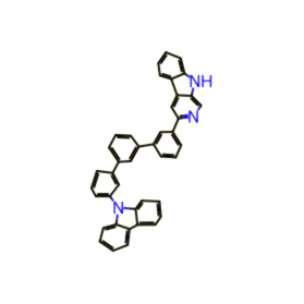 c1cc(-c2cccc(-c3cc4c(cn3)[nH]c3ccccc34)c2)cc(-c2cccc(-n3c4ccccc4c4ccccc43)c2)c1